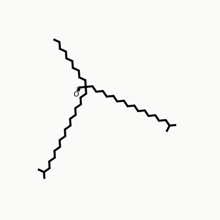 CCCCCCCCCCC([C]=O)(CCCCCCCCCCCCCCCC(C)C)CCCCCCCCCCCCCCCC(C)C